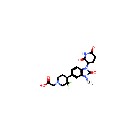 Cn1c(=O)n(C2CCC(=O)NC2=O)c2ccc(C3CCN(CC(=O)O)CC3(F)F)cc21